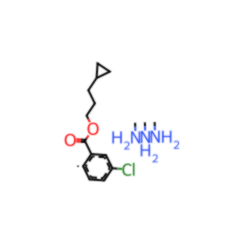 CN.CN.CN.O=C(OCCCC1CC1)c1[c]ccc(Cl)c1